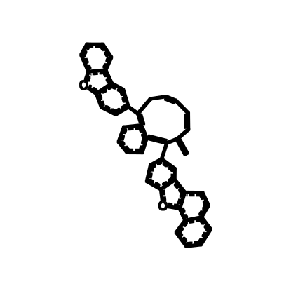 C=C1/C=C\C=C/C/C(c2ccc3oc4ccccc4c3c2)=c2/cccc/c2=C/1c1ccc2oc3c4ccccc4ccc3c2c1